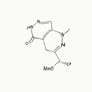 COC(=O)C1=NN(C)c2cn[nH]c(=O)c2C1